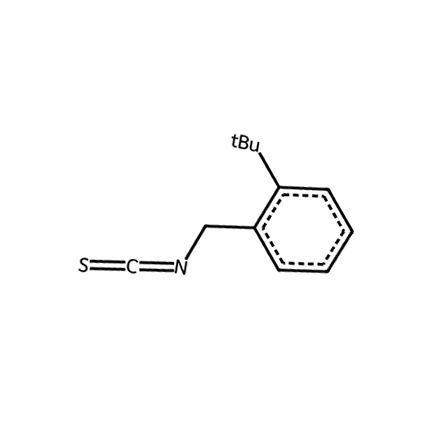 CC(C)(C)c1ccccc1CN=C=S